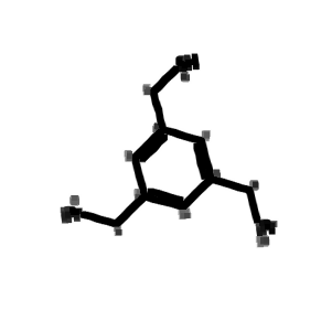 CC(C)Cc1cc(CS)cc(CC(C)C)c1